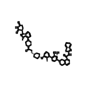 Cc1c(O[C@H]2CC[C@@H](CCC(=O)N3CCN(c4cccc5c(C6CCC(=O)NC6=O)nn(C)c45)CC3)CC2)cccc1-c1ccc(N2CCc3cccc(C(=O)Nc4nc5ccccc5s4)c3C2)nc1C(=O)O